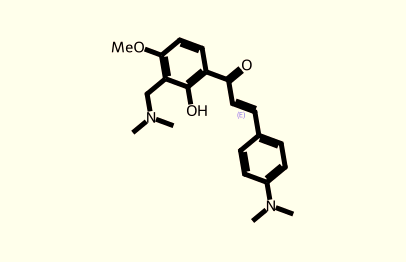 COc1ccc(C(=O)/C=C/c2ccc(N(C)C)cc2)c(O)c1CN(C)C